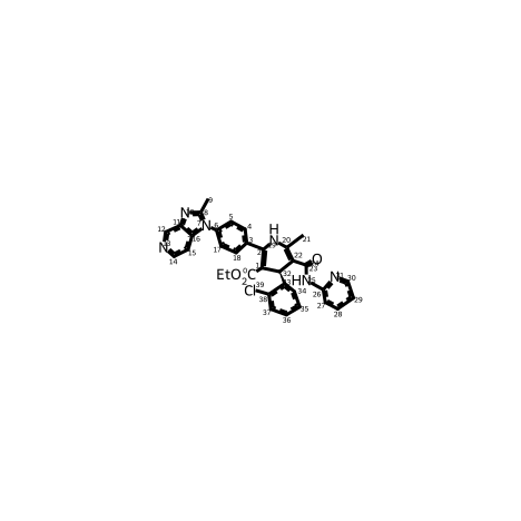 CCOC(=O)C1=C(c2ccc(-n3c(C)nc4cnccc43)cc2)NC(C)=C(C(=O)Nc2ccccn2)[C@H]1c1ccccc1Cl